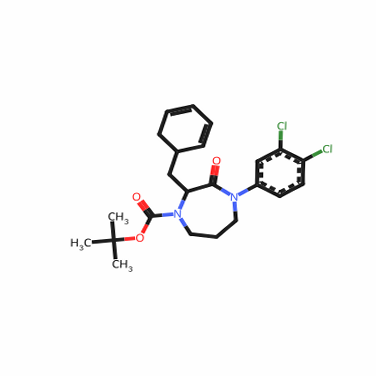 CC(C)(C)OC(=O)N1CCCN(c2ccc(Cl)c(Cl)c2)C(=O)C1CC1C=CC=CC1